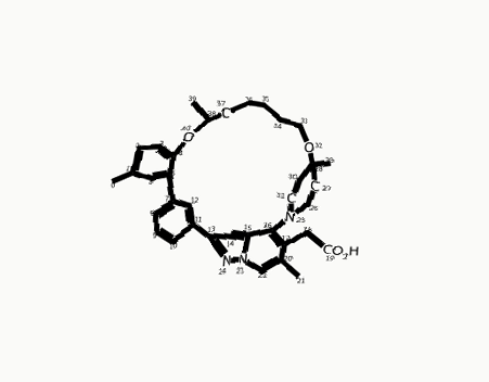 Cc1ccc2c(c1)-c1cccc(c1)-c1cc3c(c(CC(=O)O)c(C)cn3n1)N1CCC(C)(CC1)OCCCCCC(C)O2